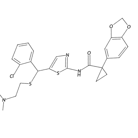 CN(C)CCSC(c1cnc(NC(=O)C2(c3ccc4c(c3)OCO4)CC2)s1)c1ccccc1Cl